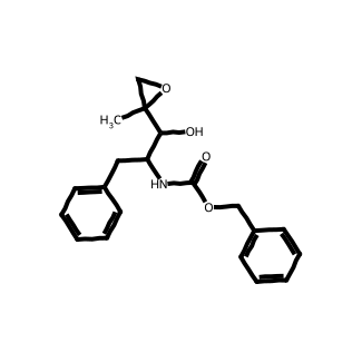 CC1(C(O)C(Cc2ccccc2)NC(=O)OCc2ccccc2)CO1